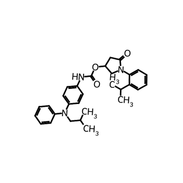 CC(C)CN(c1ccccc1)c1ccc(NC(=O)OC2CC(=O)N(c3ccccc3C(C)C)C2)cc1